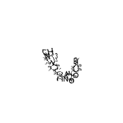 CN1CCN(c2ccc(COCc3nc4c(oc5ccc(Br)cc54)c(=O)[nH]3)cc2)CC1